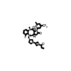 C=CC(=O)N1CC(N2CC[C@@H](CN3C[C@H]4CC(=O)N(c5cc(C(F)(F)F)cc(C)n5)[C@@H]4C(=O)N(C)c4cccc(F)c43)C2)C1